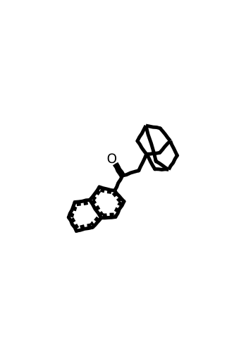 O=C(CC12CC3CC(CC(C3)C1)C2)c1ccc2ccccc2c1